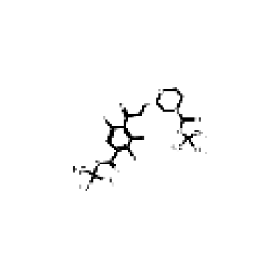 CC(C)(C)OC(=O)c1cc(F)c(C(=O)CC[C@H]2CN(C(=O)OC(C)(C)C)CCO2)c(F)c1F